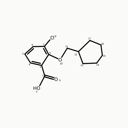 O=C(O)c1cccc(Cl)c1OCC1CCCCC1